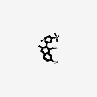 Cc1cc2ccc(C#N)cc2c(C(C)(C)C)c1-c1cc([Si](C)(C)C)cc[n+]1C